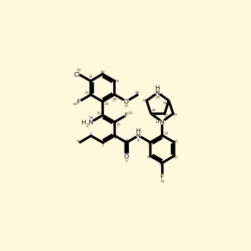 CC/C=C(C(=O)Nc1cc(F)ccc1N1CC2CC1CN2)\C(F)=C(/N)c1c(OC)ccc(Cl)c1F